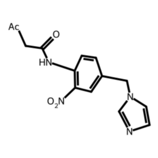 CC(=O)CC(=O)Nc1ccc(Cn2ccnc2)cc1[N+](=O)[O-]